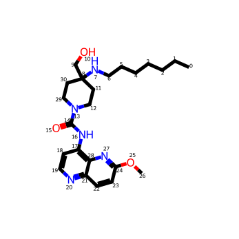 CCCCCCCNC1(CO)CCN(C(=O)Nc2ccnc3ccc(OC)nc23)CC1